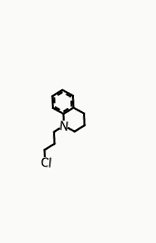 ClCCCN1CCCc2ccccc21